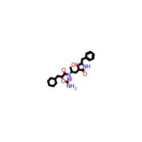 NC(=O)OC(CC1CCCCC1)C(=O)NC(CO)CC1CC(Cc2ccccc2)NC1=O